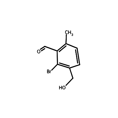 Cc1ccc(CO)c(Br)c1C=O